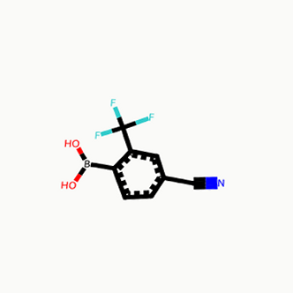 N#Cc1ccc(B(O)O)c(C(F)(F)F)c1